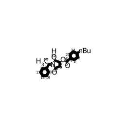 CCCCc1ccc(C(=O)O[C@@H]2CC(=O)N([C@H](C)c3ccccc3)C2O)cc1